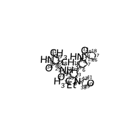 CCN(c1cc(-c2ccc3c(c2)NC(=O)C32CCCCC2)cc(C(=O)NCc2c(C)cc(C)[nH]c2=O)c1C)C1CCOCC1